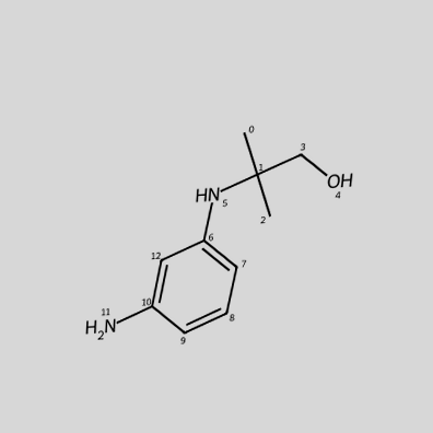 CC(C)(CO)Nc1cccc(N)c1